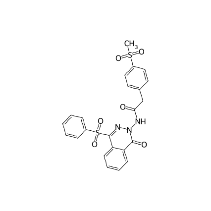 CS(=O)(=O)c1ccc(CC(=O)Nn2nc(S(=O)(=O)c3ccccc3)c3ccccc3c2=O)cc1